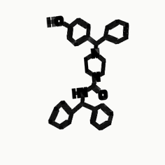 O=C(NC(c1ccccc1)c1ccccc1)N1CCN(C(c2ccccc2)c2ccc(O)cc2)CC1